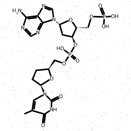 Cc1cn([C@H]2CC[C@@H](COP(=O)(O)O[C@H]3C[C@H](n4cnc5c(N)ncnc54)O[C@@H]3COP(=O)(O)O)O2)c(=O)[nH]c1=O